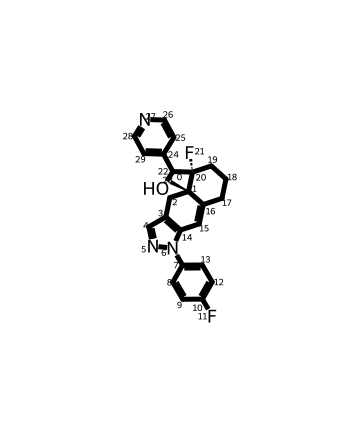 C[C@]12Cc3cnn(-c4ccc(F)cc4)c3C=C1CCC[C@]2(F)C(O)c1ccncc1